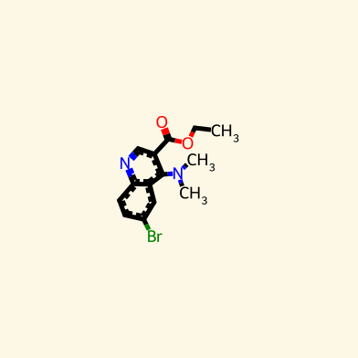 CCOC(=O)c1cnc2ccc(Br)cc2c1N(C)C